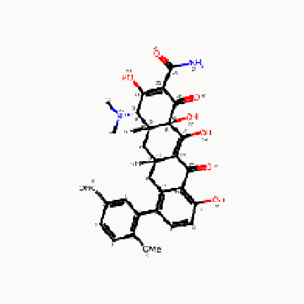 COc1ccc(C=O)cc1-c1ccc(O)c2c1C[C@@H]1C[C@@H]3[C@H](N(C)C)C(O)=C(C(N)=O)C(=O)[C@]3(O)C(O)=C1C2=O